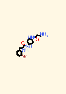 NCCC(=O)N[C@H]1CC[C@H](NC(=O)C2Cc3cccc(Br)c3N2)CC1